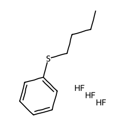 CCCCSc1ccccc1.F.F.F